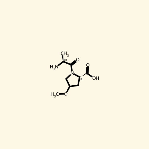 COC1C[C@@H](C(=O)O)N(C(=O)[C@H](C)N)C1